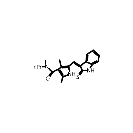 CCCNC(=O)c1c(C)[nH]c(/C=C2\C(=S)Nc3ccccc32)c1C